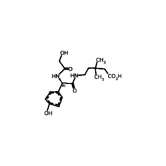 CC(C)(CCNC(=O)[C@H](NC(=O)CO)c1ccc(O)cc1)CC(=O)O